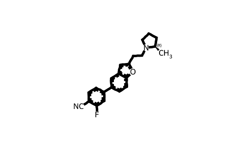 C[C@@H]1CCCN1CCc1cc2cc(-c3ccc(C#N)c(F)c3)ccc2o1